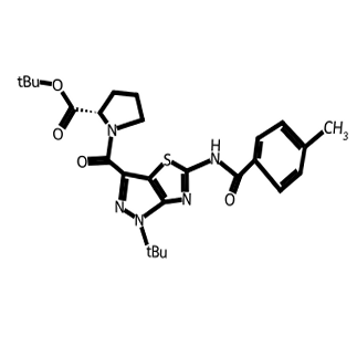 Cc1ccc(C(=O)Nc2nc3c(s2)c(C(=O)N2CCC[C@H]2C(=O)OC(C)(C)C)nn3C(C)(C)C)cc1